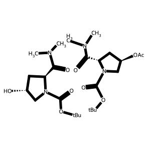 CC(=O)O[C@@H]1C[C@@H](C(=O)N(C)C)N(C(=O)OC(C)(C)C)C1.CN(C)C(=O)[C@@H]1C[C@@H](O)CN1C(=O)OC(C)(C)C